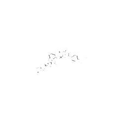 O=C(CN1CCOCC1)Nc1nc2c(Oc3cc(-c4ccc(C(F)(F)F)cc4)ncn3)cccc2s1